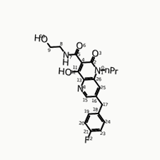 [CH2]CCn1c(=O)c(C(=O)NCCO)c(O)c2ncc(Cc3ccc(F)cc3)cc21